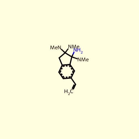 C=Cc1ccc2c(c1)C(N)(NC)C(NC)(NC)C2